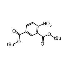 CC(C)(C)OC(=O)c1ccc([N+](=O)[O-])c(C(=O)OC(C)(C)C)c1